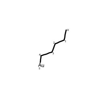 CCCC[CH2][Au]